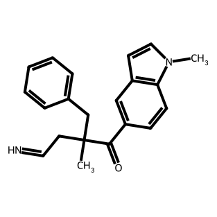 Cn1ccc2cc(C(=O)C(C)(CC=N)Cc3ccccc3)ccc21